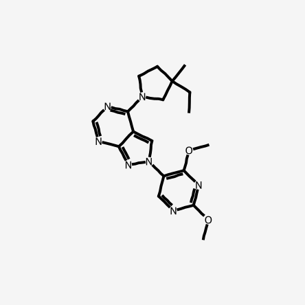 CCC1(C)CCN(c2ncnc3nn(-c4cnc(OC)nc4OC)cc23)C1